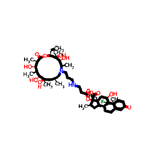 CC[C@H]1OC(=O)[C@H](C)[C@@H](O)[C@H](C)[C@@H](O)[C@](C)(O)C[C@@H](C)CN(CCCNCCC(=O)O[C@]2(C(=O)O)[C@H](C)CC3C4CCC5=CC(=O)C=C[C@]5(C)[C@@]4(F)[C@@H](O)C[C@@]32C)[C@H](C)[C@@H](O)[C@]1(C)O